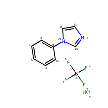 Cl.F[B-](F)(F)F.c1ccc(-n2ccnc2)cc1